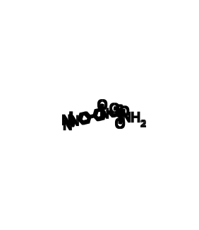 Cc1nncn1-c1ccc(-c2ccn(CCC(C(N)=O)S(C)(=O)=O)c(=O)c2)cc1